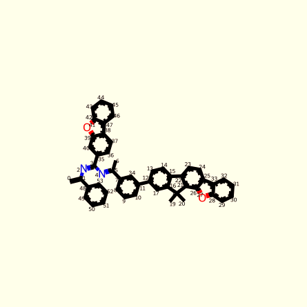 C=C(/N=C(\N=C(/C)c1cccc(-c2ccc3c(c2)C(C)(C)c2c-3ccc3c2oc2ccccc23)c1)c1ccc2c(c1)oc1ccccc12)c1ccccc1